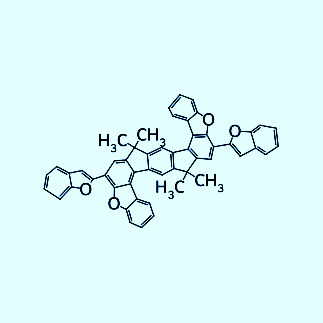 CC1(C)c2cc3c(cc2-c2c1cc(-c1cc4ccccc4o1)c1oc4ccccc4c21)C(C)(C)c1cc(-c2cc4ccccc4o2)c2oc4ccccc4c2c1-3